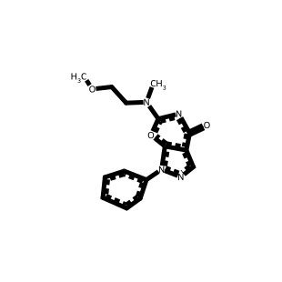 COCCN(C)c1nc(=O)c2cnn(-c3ccccc3)c2o1